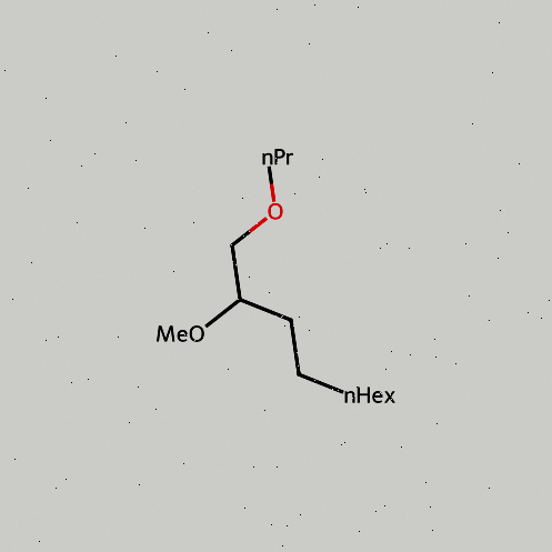 C[CH]COCC(CCCCCCCC)OC